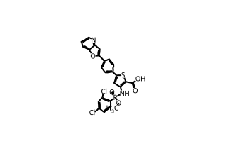 COP(=O)(Nc1cc(-c2ccc(-c3cc4ncccc4o3)cc2)sc1C(=O)O)c1ccc(Cl)cc1Cl